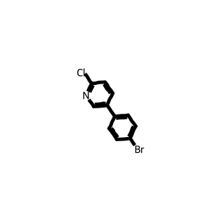 Clc1ccc(-c2ccc(Br)cc2)cn1